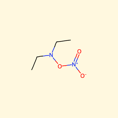 CCN(CC)O[N+](=O)[O-]